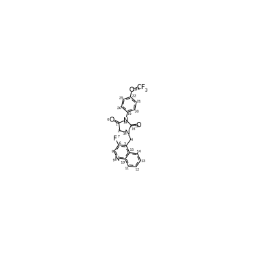 O=C1CN(Cc2c(F)cnc3ccccc23)C(=O)N1c1ccc(OC(F)(F)F)cc1